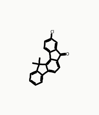 CC1(C)c2ccccc2-c2ccc3c(c21)-c1ccc(Cl)cc1C3=O